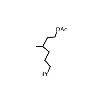 [CH2]C(=O)OCCC(C)CCCC(C)C